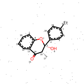 CCc1ccc([C@]2(O)Oc3ccccc3C(=O)[C@H]2C)cc1